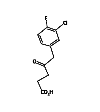 O=C(O)CCC(=O)Cc1ccc(F)c(Cl)c1